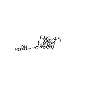 C[C@]12CCCN1N(Cc1c(F)cc(OCCCCCCOC[C@@H](O)CO)cc1F)C(=O)C(C(=O)Nc1ccc(C(F)(F)F)cc1-c1ccc(C(F)(F)F)nc1)=C2O